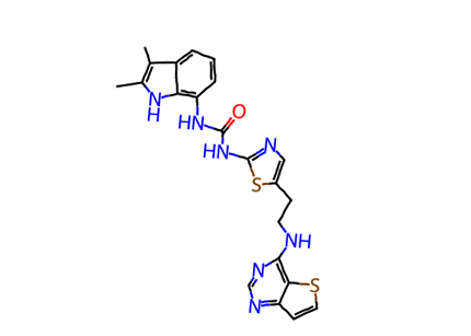 Cc1[nH]c2c(NC(=O)Nc3ncc(CCNc4ncnc5ccsc45)s3)cccc2c1C